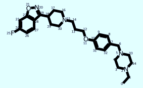 CCN1CCN(Cc2ccc(OCCCN3CCC(c4noc5cc(F)ccc45)CC3)cc2)CC1